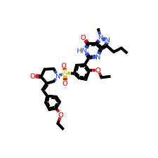 CCCc1nn(C)c2c(=O)[nH]c(-c3cc(S(=O)(=O)N4CCC(=O)C(=Cc5ccc(OCC)cc5)C4)ccc3OCC)nc12